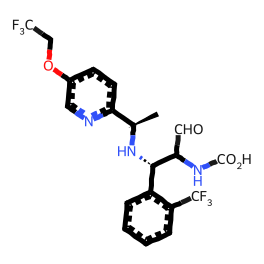 C[C@@H](N[C@@H](c1ccccc1C(F)(F)F)C(C=O)NC(=O)O)c1ccc(OCC(F)(F)F)cn1